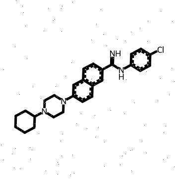 N=C(Nc1ccc(Cl)cc1)c1ccc2cc(N3CCN(C4CCCCC4)CC3)ccc2c1